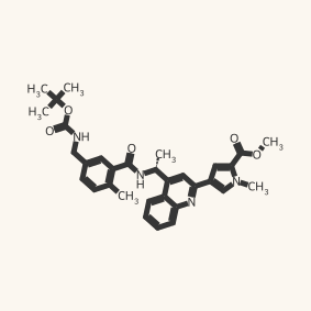 COC(=O)c1cc(-c2cc([C@@H](C)NC(=O)c3cc(CNC(=O)OC(C)(C)C)ccc3C)c3ccccc3n2)cn1C